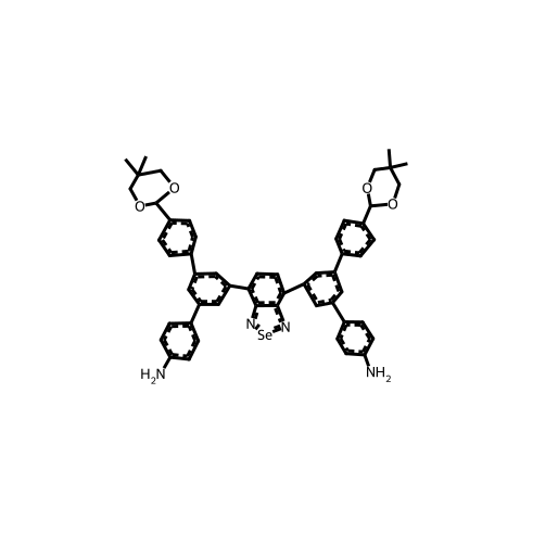 CC1(C)COC(c2ccc(-c3cc(-c4ccc(N)cc4)cc(-c4ccc(-c5cc(-c6ccc(N)cc6)cc(-c6ccc(C7OCC(C)(C)CO7)cc6)c5)c5n[se]nc45)c3)cc2)OC1